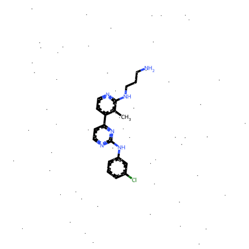 Cc1c(-c2ccnc(Nc3cccc(Cl)c3)n2)ccnc1NCCCN